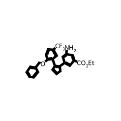 CCOC(=O)c1cc(N)cc(C2=C(c3cc(C(F)(F)F)ccc3OCc3ccccc3)C=CC2)c1